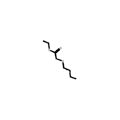 [CH2]CCCOCC(=O)OCC